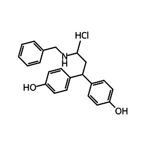 CC(CC(c1ccc(O)cc1)c1ccc(O)cc1)NCc1ccccc1.Cl